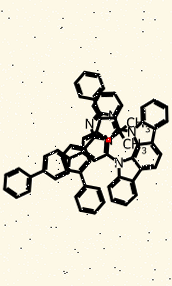 CC1(C)c2ccccc2-c2cc(-c3ccc(-c4ccccc4)cc3)cc(-n3c4ccccc4c4ccc5c6ccccc6n(-c6nc(-c7ccccc7)nc(-c7cccc(-c8ccccc8)c7)n6)c5c43)c21